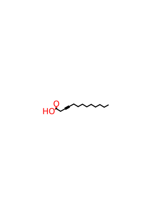 CCCCCCCCCC#CCC(=O)O